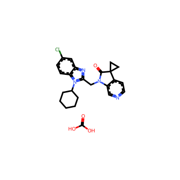 O=C(O)O.O=C1N(Cc2nc3cc(Cl)ccc3n2C2CCCCC2)c2cnccc2C12CC2